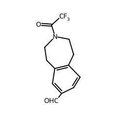 O=Cc1ccc2c(c1)CCN(C(=O)C(F)(F)F)CC2